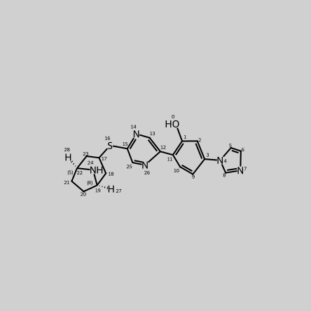 Oc1cc(-n2ccnc2)ccc1-c1cnc(SC2C[C@H]3CC[C@@H](C2)N3)cn1